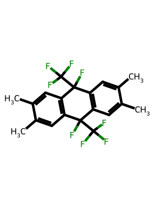 Cc1cc2c(cc1C)C(F)(C(F)(F)F)c1cc(C)c(C)cc1C2(F)C(F)(F)F